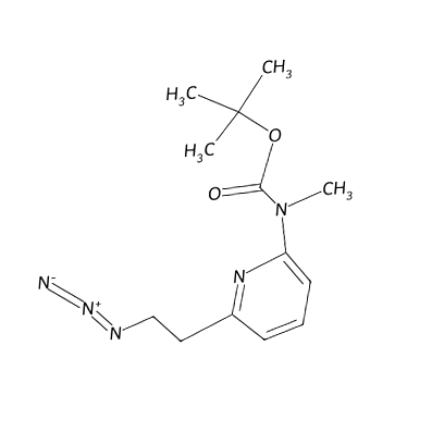 CN(C(=O)OC(C)(C)C)c1cccc(CCN=[N+]=[N-])n1